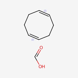 C1=C\CC/C=C\CC/1.O=CO